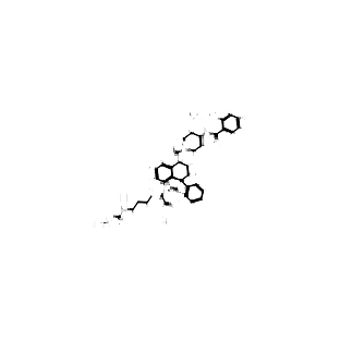 CCCOC(=O)[C@H](CCCCNC(=O)OC(C)C)NC(=O)[C@@]1(c2ccccc2)CC[C@H](C(=O)N2CCC(NC(=O)c3ccccc3OC)CC2)c2ccccc21